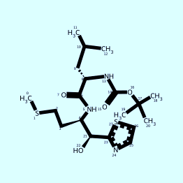 CSCC[C@@H](NC(=O)[C@H](CC(C)C)NC(=O)OC(C)(C)C)[C@H](O)c1nccs1